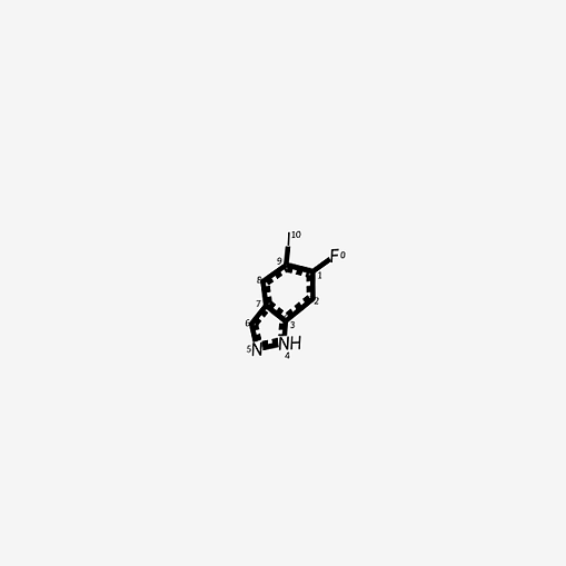 Fc1cc2[nH]ncc2cc1I